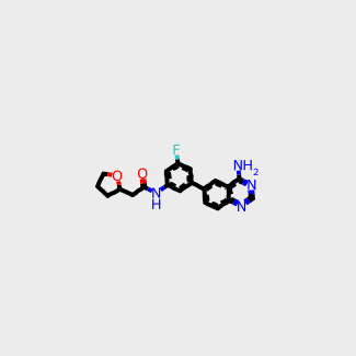 Nc1ncnc2ccc(-c3cc(F)cc(NC(=O)CC4CCCO4)c3)cc12